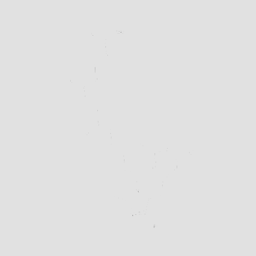 Cc1nc(C(C)C)c(Sc2cc(Cl)cc(Cl)c2)n1COCCOC(=O)CCC(=O)OCOC(=O)C(C)(C)C